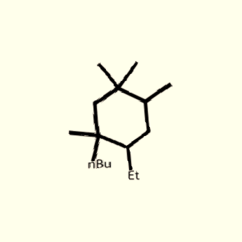 CCCCC1(C)CC(C)(C)C(C)CC1CC